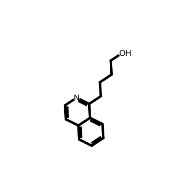 OCCCCc1nccc2ccccc12